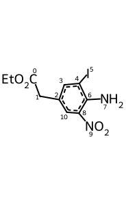 CCOC(=O)Cc1cc(I)c(N)c([N+](=O)[O-])c1